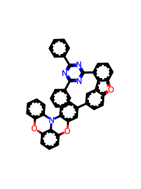 c1ccc(-c2nc(-c3ccccc3)nc(-c3cccc4oc5ccc(-c6ccc7c(c6)Oc6cccc8c6N7c6ccccc6O8)cc5c34)n2)cc1